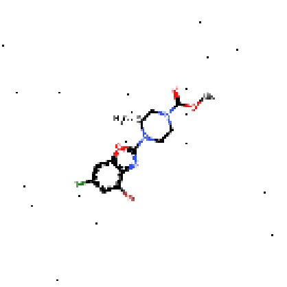 C[C@@H]1CN(C(=O)OC(C)(C)C)CCN1c1nc2c(Br)cc(Cl)cc2o1